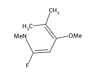 CN/C(F)=C\C(OC)=C(C)C